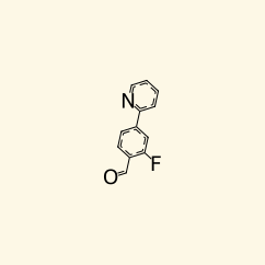 O=Cc1ccc(-c2ccccn2)cc1F